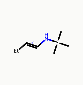 CC/C=C/N[Si](C)(C)C